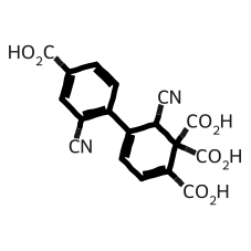 N#Cc1cc(C(=O)O)ccc1C1=CC=C(C(=O)O)C(C(=O)O)(C(=O)O)C1C#N